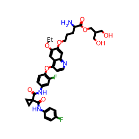 CCOc1cc2c(Oc3ccc(NC(=O)C4(C(=O)Nc5ccc(F)cc5)CC4)cc3F)ccnc2cc1OCCCC(N)C(=O)OCC(CO)CO